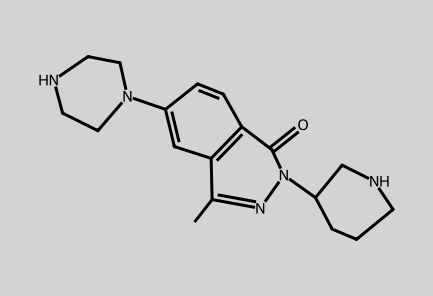 Cc1nn(C2CCCNC2)c(=O)c2ccc(N3CCNCC3)cc12